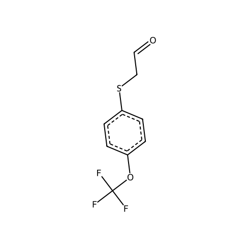 O=CCSc1ccc(OC(F)(F)F)cc1